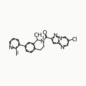 CC1c2cc(-c3cccnc3F)ccc2CCN1C(=O)c1cc2ncc(Cl)cn2n1